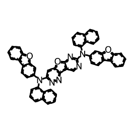 c1ccc2c(N(c3ccc4c(c3)oc3ccccc34)c3cc4oc5nc(N(c6ccc7c(c6)oc6ccccc67)c6cccc7ccccc67)ncc5c4nn3)cccc2c1